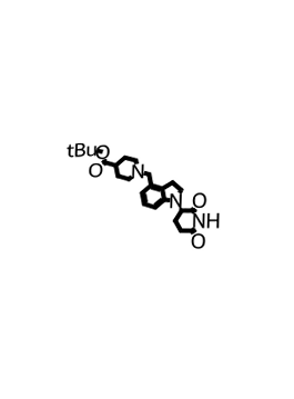 CC(C)(C)OC(=O)C1CCN(Cc2cccc3c2CCN3[C@@H]2CCC(=O)NC2=O)CC1